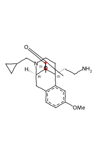 COc1ccc2c(c1)[C@]1(CCN)CCN(CC3CC3)[C@H](C2)[C@]12CCCC(=O)O2